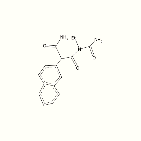 CCN(C(N)=O)C(=O)C(C(N)=O)c1ccc2ccccc2c1